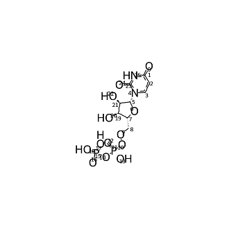 O=c1ccn([C@@H]2O[C@H](COOP(=O)(O)OP(=O)(O)O)[C@@H](O)[C@H]2O)c(=O)[nH]1